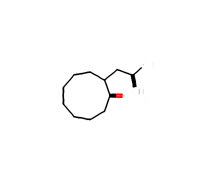 C=C(C)CC1CCCCCCCC1=O